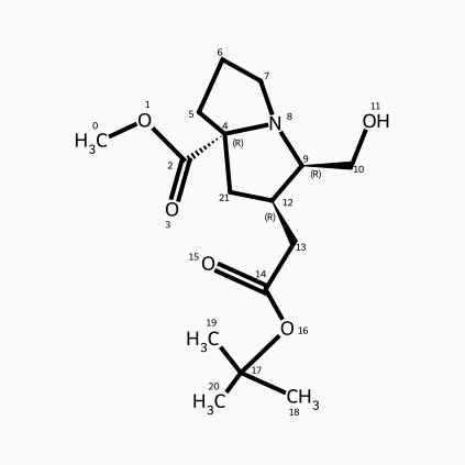 COC(=O)[C@]12CCCN1[C@@H](CO)[C@@H](CC(=O)OC(C)(C)C)C2